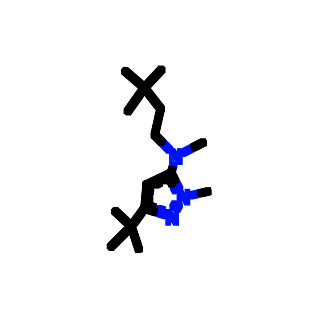 CN(CCC(C)(C)C)c1cc(C(C)(C)C)nn1C